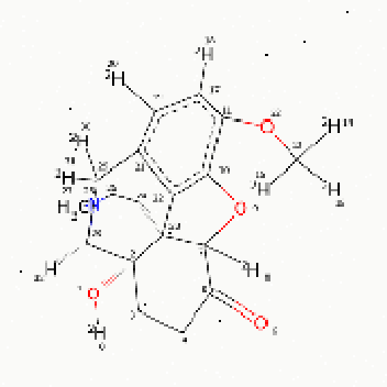 [2H]O[C@@]12CCC(=O)C3([2H])Oc4c(OC([2H])([2H])[2H])c([2H])c([2H])c5c4[C@@]31CCN(C)[C@@H]2C5([2H])[2H]